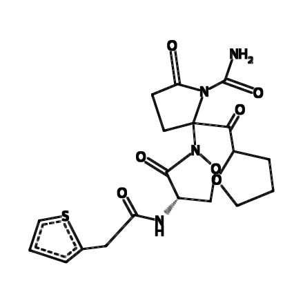 NC(=O)N1C(=O)CCC1(C(=O)C1CCCO1)N1OC[C@H](NC(=O)Cc2cccs2)C1=O